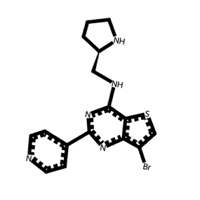 Brc1csc2c(NC[C@H]3CCCN3)nc(-c3ccncc3)nc12